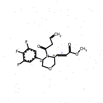 C=CCC(=O)N1[C@@H](/C=C/C(=O)OC)COC[C@H]1c1cc(F)c(F)c(F)c1